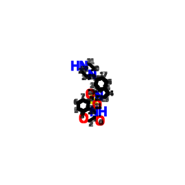 O=C1COc2cccc(S(=O)(=O)n3ccc4ccc(N5CCNCC5)cc43)c2N1